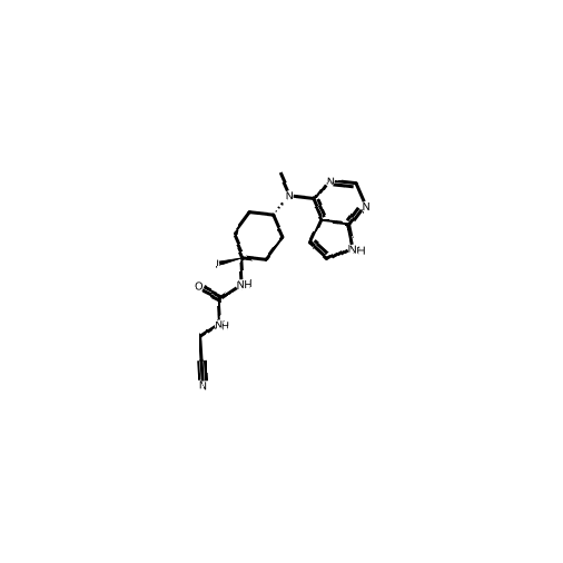 CN(c1ncnc2[nH]ccc12)[C@H]1CC[C@@](I)(NC(=O)NCC#N)CC1